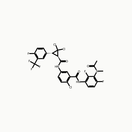 CC(=O)N(C)c1c(F)ccc(NC(=O)c2cc(NC(=O)[C@H]3[C@H](c4ccc(F)c(C(F)(F)F)c4)C3(Cl)Cl)ccc2Cl)c1F